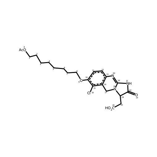 CC(=O)OCCCCCCCCOc1ccc2c(c1Cl)CN1C(=N2)NC(=O)C1CC(=O)O